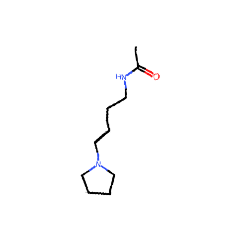 CC(=O)NCCCCN1C[CH]CC1